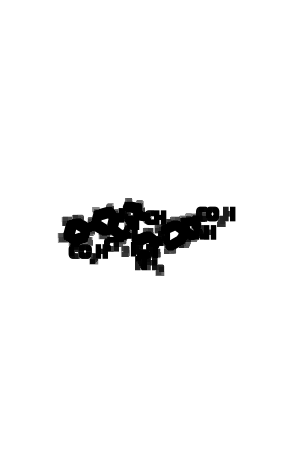 Cc1ccn(-c2ccc(-c3cccc(C(=O)O)c3)cc2[C@@H](Oc2cc(N3CCC4(CC3)CNC(C(=O)O)C4)nc(N)n2)C(F)(F)F)n1